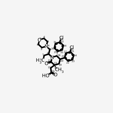 CCC(CN1CCOCC1)N1C(=O)[C@@](C)(CC(=O)O)CC(c2cccc(Cl)c2)[C@H]1c1ccc(Cl)cc1